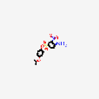 CC(C)Oc1ccc(OS(=O)(=O)c2ccc(N)c([N+](=O)[O-])c2)cc1